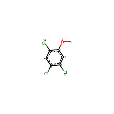 COc1cc(Cl)c(Cl)cc1Cl